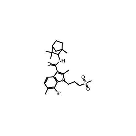 Cc1ccc2c(C(=O)NC3C4(C)CCC(C4)C3(C)C)c(C)n(CCCS(C)(=O)=O)c2c1Br